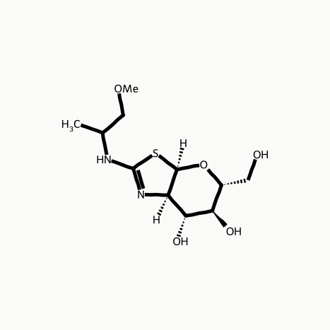 COCC(C)NC1=N[C@@H]2[C@@H](O)[C@H](O)[C@@H](CO)O[C@@H]2S1